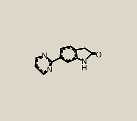 O=C1Cc2ccc(-c3ncccn3)cc2N1